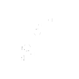 CCCOc1ccc(CCc2cnc(C#N)c(Cl)c2)cc1